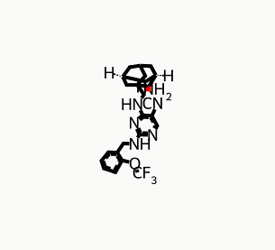 N#Cc1cnc(NCc2ccccc2OC(F)(F)F)nc1NCC12CC3C[C@H](C1)[C@H](N)[C@@H](C3)C2